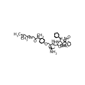 CC(=O)O[C@H](C(=O)[N+]1(C(C)(C)C)CCC[C@H]1C(N)=O)[C@H](Cc1ccccc1)NC(=O)[C@H](CC(N)=O)NC(=O)COc1ccc(N(C)C(=O)CNCCCN(C)C)cc1